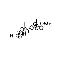 COc1ccccc1NS(=O)(=O)c1ccc(C(=O)Nc2cccc(NS(C)(=O)=O)c2)cc1